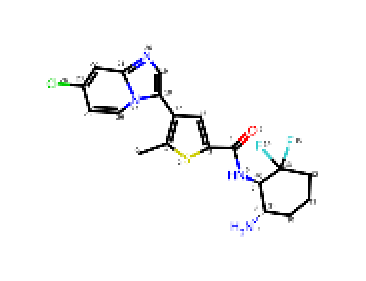 Cc1sc(C(=O)N[C@@H]2[C@@H](N)CCCC2(F)F)cc1-c1cnc2cc(Cl)ccn12